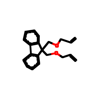 C=CCOCC1(COCC=C)c2ccccc2-c2ccccc21